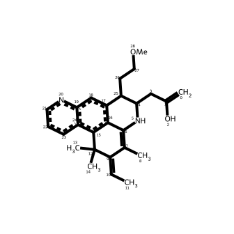 C=C(O)CC1NC2=C(C)/C(=C\C)C(C)(C)c3c2c(cc2ncccc32)C1CCOC